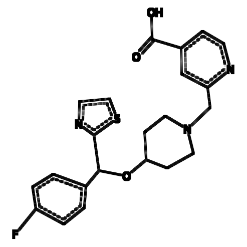 O=C(O)c1ccnc(CN2CCC(OC(c3ccc(F)cc3)c3nccs3)CC2)c1